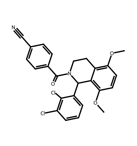 COc1ccc(OC)c2c1CCN(C(=O)c1ccc(C#N)cc1)C2c1cccc(Cl)c1Cl